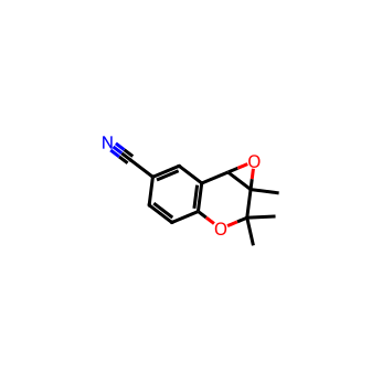 CC1(C)Oc2ccc(C#N)cc2C2OC21C